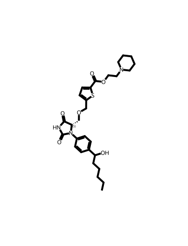 CCCCCC(O)c1ccc(N2C(=O)NC(=O)[C@@H]2COCc2ccc(C(=O)OCCN3CCCCC3)s2)cc1